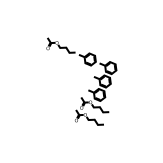 CCCCOC(C)=O.CCCCOC(C)=O.CCCCOC(C)=O.Cc1ccccc1.Cc1ccccc1.Cc1ccccc1.Cc1ccccc1